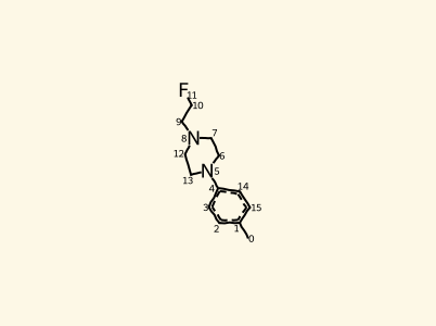 Cc1ccc(N2CCN(CCF)CC2)cc1